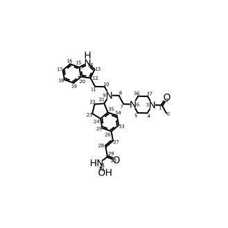 CC(=O)N1CCN(CCN(CCc2c[nH]c3ccccc23)C2CCc3cc(C=CC(=O)NO)ccc32)CC1